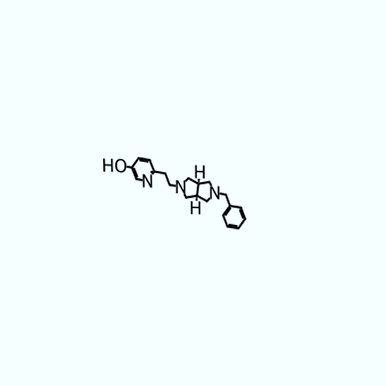 Oc1ccc(CCN2C[C@@H]3CN(Cc4ccccc4)C[C@@H]3C2)nc1